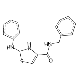 O=C(NCc1ccccc1)C1=CSC(Nc2ccccc2)N1